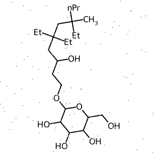 CCCC(C)(CC)CC(CC)(CC)CC(O)CCOC1OC(CO)C(O)C(O)C1O